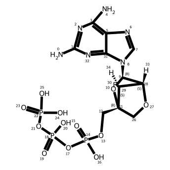 Nc1nc(N)c2ncn([C@@H]3O[C@@]4(COP(=O)(O)OP(=O)(O)OP(=O)(O)O)CO[C@@H]3[C@@H]4F)c2n1